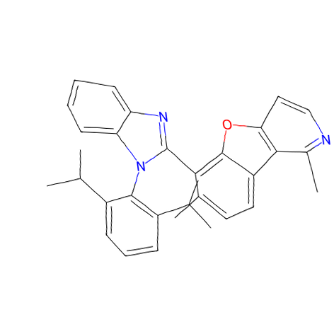 Cc1ccc2c(oc3ccnc(C)c32)c1-c1nc2ccccc2n1-c1c(C(C)C)cccc1C(C)C